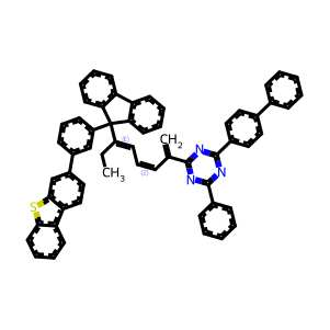 C=C(/C=C\C=C(/CC)C1(c2cccc(-c3ccc4c(c3)sc3ccccc34)c2)c2ccccc2-c2ccccc21)c1nc(-c2ccccc2)nc(-c2ccc(-c3ccccc3)cc2)n1